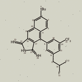 CC(C)(C)c1ccc2c(-c3cc(CC(F)F)cc(C(F)(F)F)c3)c3c(cc2c1)C(=N)NC3=N